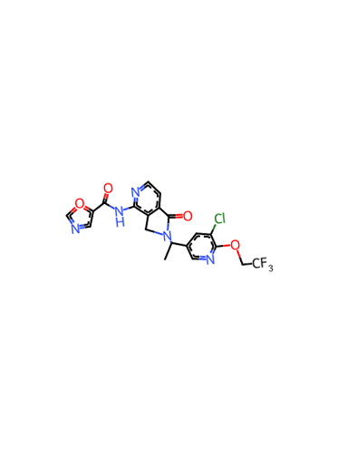 CC(c1cnc(OCC(F)(F)F)c(Cl)c1)N1Cc2c(ccnc2NC(=O)c2cnco2)C1=O